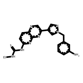 CCNC(=S)Nc1ccc2ncc(-c3cnn(Cc4cccc(N)c4)c3)nc2n1